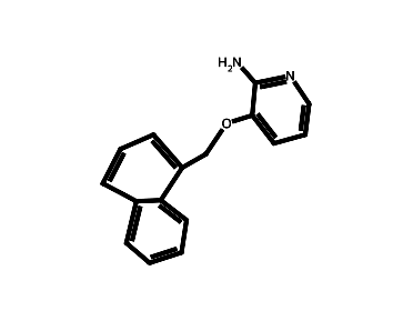 Nc1ncccc1OCc1cccc2ccccc12